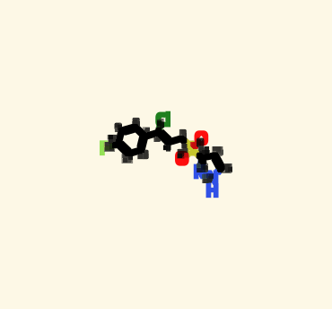 O=S(=O)(CC=C(Cl)c1ccc(F)cc1)c1cc[nH]n1